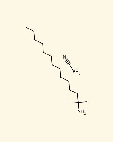 BC#N.CCCCCCCCCCCCC(C)(C)N